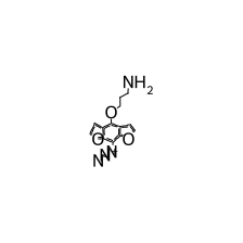 [N-]=[N+]=Nc1c2occc2c(OCCCN)c2ccoc12